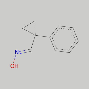 ON=CC1(c2ccccc2)CC1